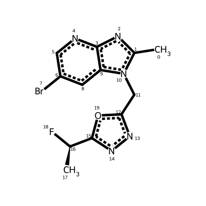 Cc1nc2ncc(Br)cc2n1Cc1nnc([C@@H](C)F)o1